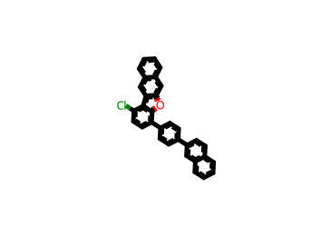 Clc1ccc(-c2ccc(-c3ccc4ccccc4c3)cc2)c2oc3cc4ccccc4cc3c12